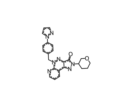 O=c1c2nn(Cc3ccc(-n4cccn4)cc3)c3ncccc3c-2nn1C1CCCOC1